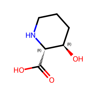 O=C(O)[C@@H]1NCCC[C@H]1O